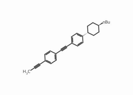 CC#Cc1ccc(C#Cc2ccc([C@H]3CC[C@H](CCCC)CC3)cc2)cc1